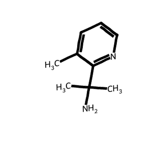 Cc1cccnc1C(C)(C)N